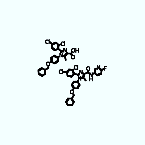 Cc1c(C(=O)Nc2ccc(F)nc2)nc(-c2ccc(Cl)cc2Cl)n1-c1ccc(OCc2ccccc2)cc1.Cc1c(C(=O)O)nc(-c2ccc(Cl)cc2Cl)n1-c1ccc(OCc2ccccc2)cc1